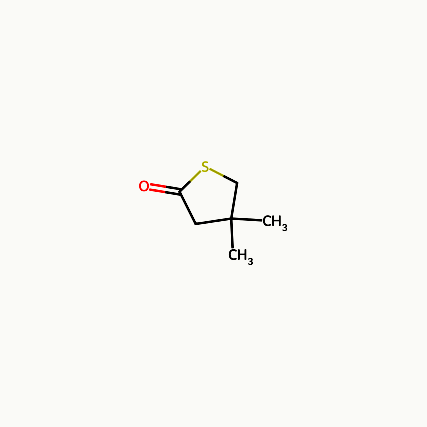 CC1(C)CSC(=O)C1